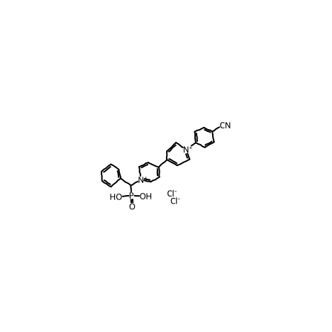 N#Cc1ccc(-[n+]2ccc(-c3cc[n+](C(c4ccccc4)P(=O)(O)O)cc3)cc2)cc1.[Cl-].[Cl-]